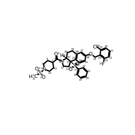 CS(=O)(=O)N1CCC(C(=O)N2CC[C@@]3(S(=O)(=O)c4ccccc4)c4ccc(OCc5c(F)cccc5Cl)cc4CC[C@@H]23)CC1